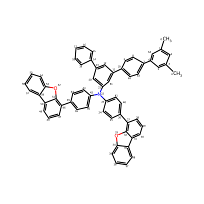 Cc1cc(C)cc(-c2ccc(-c3cc(-c4ccccc4)cc(N(c4ccc(-c5cccc6c5oc5ccccc56)cc4)c4ccc(-c5cccc6c5oc5ccccc56)cc4)c3)cc2)c1